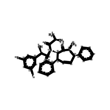 C[C@H](N)C(=O)N(C(=O)[C@H](O)c1cc(F)cc(F)c1)[C@@H]1C(=O)N(C)[C@H](c2ccccc2)C=C[C@H]1c1ccccc1